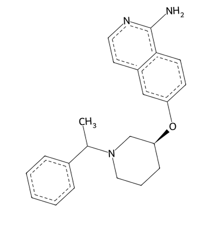 CC(c1ccccc1)N1CCC[C@H](Oc2ccc3c(N)nccc3c2)C1